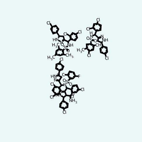 Cc1cc(C)c(S(=O)(=O)NC(C2=NNC(c3ccc(Cl)cc3)C2)c2ccc(Cl)cc2Cl)c(C)c1.Cc1cc(S(=O)(=O)NC(C2=NNC(c3ccc(Cl)cc3)C2)c2ccc(Cl)cc2Cl)c(C)cc1Cl.Cc1ccc(F)cc1S(=O)(=O)N(C(C1=NNC(c2ccc(Cl)cc2)C1)c1ccc(Cl)cc1Cl)C(C1=NNC(c2ccc(Cl)cc2)C1C(N)=O)c1ccc(Cl)cc1Cl